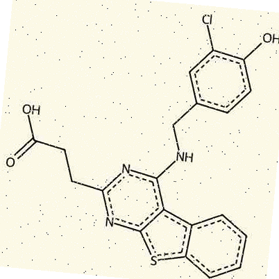 O=C(O)CCc1nc(NCc2ccc(O)c(Cl)c2)c2c(n1)sc1ccccc12